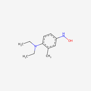 CCN(CC)c1ccc(NO)cc1C